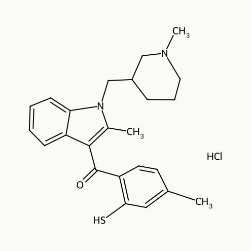 Cc1ccc(C(=O)c2c(C)n(CC3CCCN(C)C3)c3ccccc23)c(S)c1.Cl